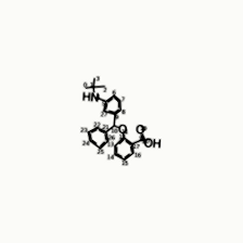 CC(C)(C)Nc1cccc(C(Oc2ccccc2C(=O)O)c2ccccc2)c1